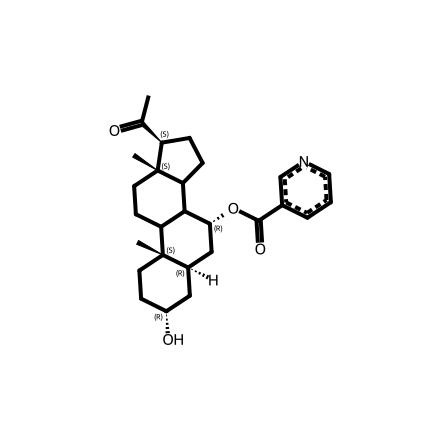 CC(=O)[C@H]1CCC2C3C(CC[C@@]21C)[C@@]1(C)CC[C@@H](O)C[C@@H]1C[C@H]3OC(=O)c1cccnc1